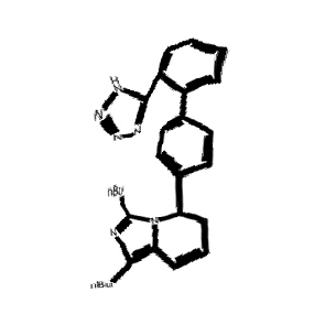 CCCCc1nc(CCCC)n2c1C=CCC2c1ccc(-c2ccccc2-c2nnn[nH]2)cc1